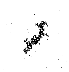 Cc1c(Nc2nc(C(F)F)nc3cc(CN4CCCC4)cnc23)cccc1-c1cccc(NC(=O)c2nc3c(n2C)CCN(C(=O)OC(C)(C)C)C3)c1Cl